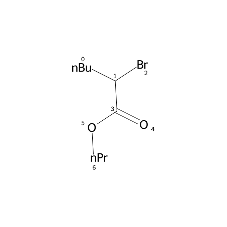 CCCCC(Br)C(=O)OCCC